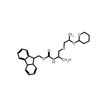 O=C(NC(COCC(OC1CCCCO1)C(F)(F)F)C(=O)O)OCC1c2ccccc2C2C=CC=CC21